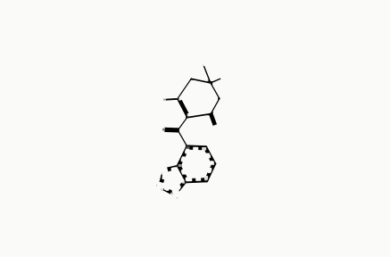 CC1(C)CC(=O)C(C(=O)c2cccc3nnsc23)=C(O)C1